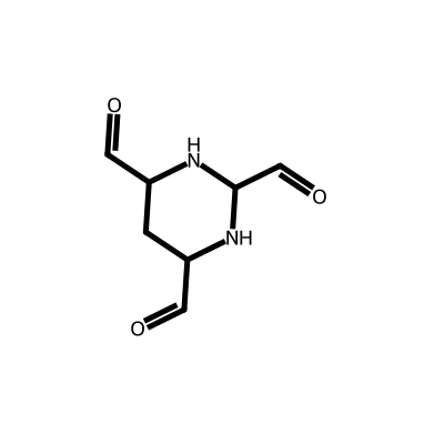 O=CC1CC(C=O)NC(C=O)N1